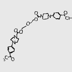 CC(=O)c1ccc(N2CCN(C(=O)OCCOCCOC(=O)N3CCN(c4ccc(C(C)=O)cc4)CC3)CC2)cc1